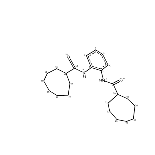 O=C(Nc1ccccc1NC(=O)C1CCCCCCC1)C1CCCCCCC1